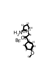 COc1ccc(C(=O)C[N+]2=C(N)CCC2)cc1.[Br-]